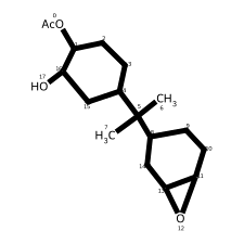 CC(=O)OC1CCC(C(C)(C)C2CCC3OC3C2)CC1O